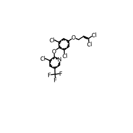 FC(F)(F)c1cnc(Oc2c(Cl)cc(OCC=C(Cl)Cl)cc2Cl)c(Cl)c1